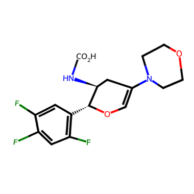 O=C(O)N[C@H]1CC(N2CCOCC2)=CO[C@@H]1c1cc(F)c(F)cc1F